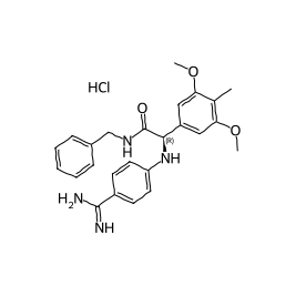 COc1cc([C@@H](Nc2ccc(C(=N)N)cc2)C(=O)NCc2ccccc2)cc(OC)c1C.Cl